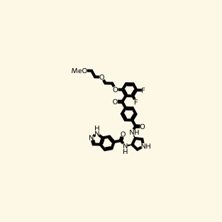 COCCOCCOc1ccc(F)c(F)c1C(=O)c1ccc(C(=O)N[C@@H]2CNC[C@H]2NC(=O)c2ccc3cn[nH]c3c2)cc1